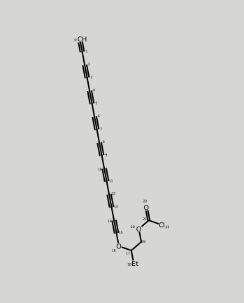 C#CC#CC#CC#CC#CC#CC#CC#COC(CC)COC(=O)Cl